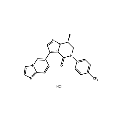 C[C@H]1CN(c2ccc(C(F)(F)F)cc2)C(=O)c2c(-c3ccc4nccn4c3)cnn21.Cl